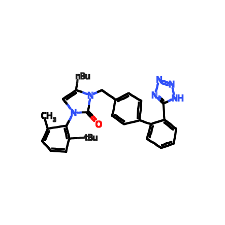 CCCCc1cn(-c2c(C)cccc2C(C)(C)C)c(=O)n1Cc1ccc(-c2ccccc2-c2nnn[nH]2)cc1